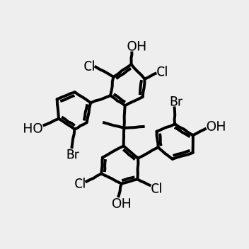 CC(C)(c1cc(Cl)c(O)c(Cl)c1-c1ccc(O)c(Br)c1)c1cc(Cl)c(O)c(Cl)c1-c1ccc(O)c(Br)c1